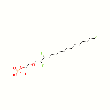 O=P(O)(O)OCCOCC(F)C(F)CCCCCCCCCCCCCF